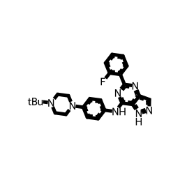 CC(C)(C)N1CCN(c2ccc(Nc3nc(-c4ccccc4F)nc4cn[nH]c34)cc2)CC1